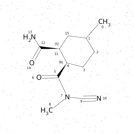 CC1CC[C@@H](C(=O)N(C)C#N)[C@@H](C(N)=O)C1